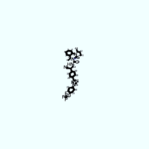 CCc1ccccc1N1/C(=N/C(=O)NCC(C#N)c2ccc(-c3ncn(-c4ccc(OC(F)(F)F)cc4)n3)cc2)SCCC1C